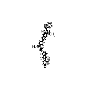 COc1cc2nn([C@H]3CC[C@H](N(C)C4CN(c5ccc6c(c5)C(=O)N(C5CCC(=O)NC5=O)C6=O)C4)CC3)cc2cc1NC(=O)c1cnn2cccnc12